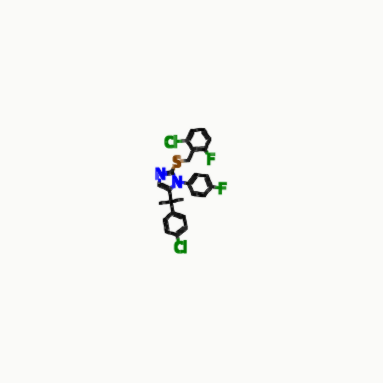 CC(C)(c1ccc(Cl)cc1)c1cnc(SCc2c(F)cccc2Cl)n1-c1ccc(F)cc1